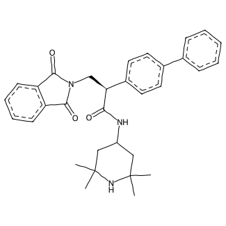 CC1(C)CC(NC(=O)[C@@H](CN2C(=O)c3ccccc3C2=O)c2ccc(-c3ccccc3)cc2)CC(C)(C)N1